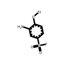 CCOc1ccc(S(=O)(=O)F)cc1N